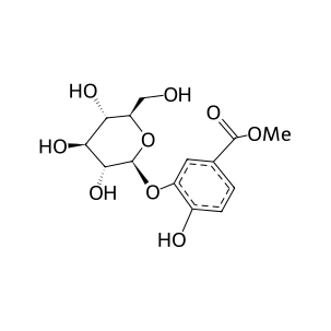 COC(=O)c1ccc(O)c(O[C@@H]2O[C@H](CO)[C@@H](O)[C@H](O)[C@H]2O)c1